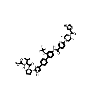 COC(=O)N[C@H](C(=O)N1CCC[C@H]1c1nc(-c2ccc(-c3ccc(NC(=O)c4ccc(N5C[C@H](C)N(C(=O)c6c[nH]cn6)C[C@H]5C)nc4)cc3OC(F)(F)F)cc2)c[nH]1)C(C)C